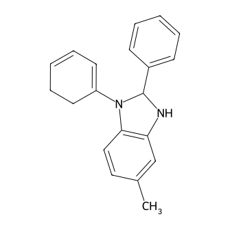 Cc1ccc2c(c1)NC(c1ccccc1)N2C1=CC=CCC1